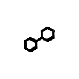 C1=CC(c2ccccc2)CCO1